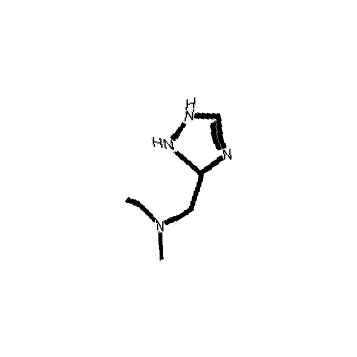 CN(C)CC1N=CNN1